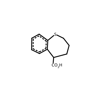 O=C(O)C1CCCSc2ccccc21